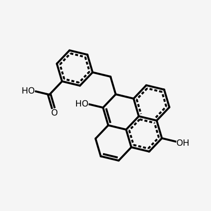 O=C(O)c1cccc(CC2C(O)=C3CC=Cc4cc(O)c5cccc2c5c43)c1